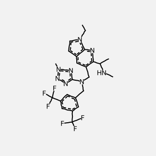 CCn1ccc2cc(CN(Cc3cc(C(F)(F)F)cc(C(F)(F)F)c3)c3nnn(C)n3)c(C(C)NC)nc21